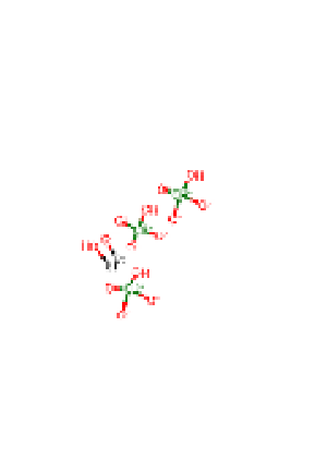 CCO.CCO.[O-][Cl+3]([O-])([O-])O.[O-][Cl+3]([O-])([O-])O.[O-][Cl+3]([O-])([O-])O